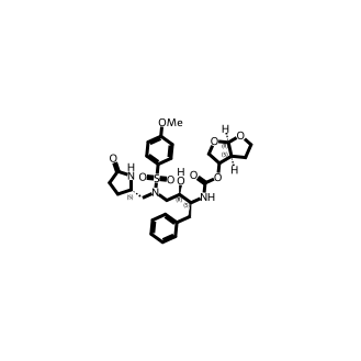 COc1ccc(S(=O)(=O)N(C[C@@H]2CCC(=O)N2)C[C@@H](O)[C@H](Cc2ccccc2)NC(=O)OC2CO[C@H]3OCC[C@@H]23)cc1